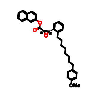 COc1ccc(CCCCCCCCc2ccccc2[C@@H]2O[C@H]2C(=O)Oc2ccc3ccccc3c2)cc1